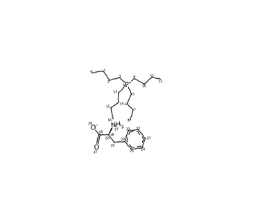 CCCC[P+](CCCC)(CCCC)CCCC.N[C@@H](Cc1ccccc1)C(=O)[O-]